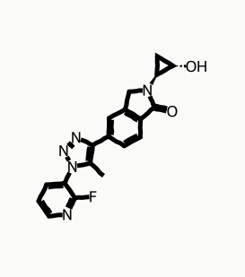 Cc1c(-c2ccc3c(c2)CN([C@H]2C[C@@H]2O)C3=O)nnn1-c1cccnc1F